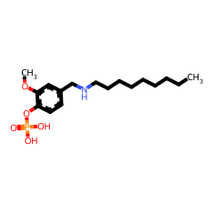 CCCCCCCCCNCc1ccc(OP(=O)(O)O)c(OC)c1